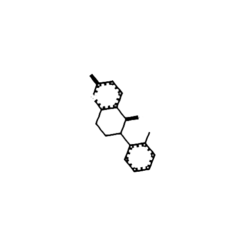 O=C1c2ccc(=O)[nH]c2CCC1c1ccccc1Cl